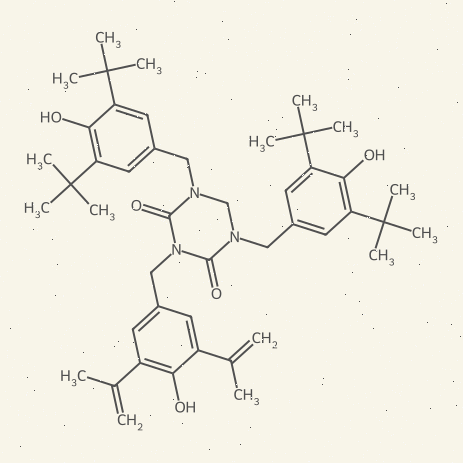 C=C(C)c1cc(CN2C(=O)N(Cc3cc(C(C)(C)C)c(O)c(C(C)(C)C)c3)CN(Cc3cc(C(C)(C)C)c(O)c(C(C)(C)C)c3)C2=O)cc(C(=C)C)c1O